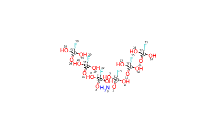 N.[O]=[Sb]([OH])([OH])[F].[O]=[Sb]([OH])([OH])[F].[O]=[Sb]([OH])([OH])[F].[O]=[Sb]([OH])([OH])[F].[O]=[Sb]([OH])([OH])[F].[O]=[Sb]([OH])([OH])[F]